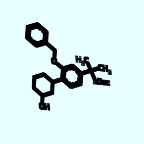 CCCCCCCCCCC(C)(C)c1ccc(C2CCCC(O)C2)c(OCc2ccccc2)c1